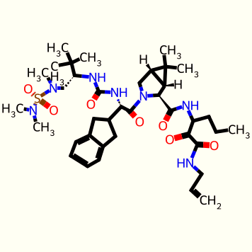 C=CCNC(=O)C(=O)C(CCC)NC(=O)[C@@H]1[C@@H]2[C@H](CN1C(=O)[C@@H](NC(=O)N[C@H](CN(C)S(=O)(=O)N(C)C)C(C)(C)C)C1Cc3ccccc3C1)C2(C)C